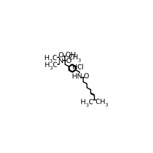 CCN(CC)C(Cc1ccc(CNC(=O)CCCCC=CC(C)C)cc1)(OC)C(=O)O.Cl